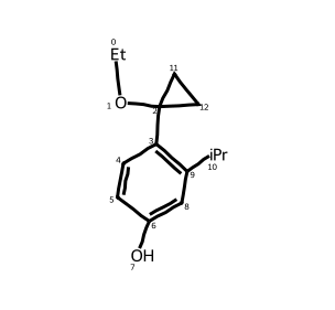 CCOC1(c2ccc(O)cc2C(C)C)CC1